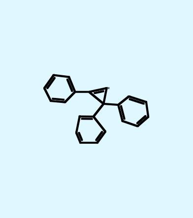 [C]1=C(c2ccccc2)C1(c1ccccc1)c1ccccc1